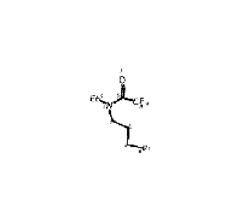 CCN(CCCC(C)C)C(=O)C(F)(F)F